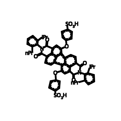 CCCc1cccc(C(C)C)c1N1C(=O)c2ccc3c4c(Oc5ccc(S(=O)(=O)O)cc5)cc5c6c(ccc(c7c(Oc8ccc(S(=O)(=O)O)cc8)cc(c2c37)C1=O)c64)C(=O)N(c1c(CCC)cccc1C(C)C)C5=O